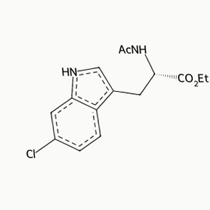 CCOC(=O)[C@H](Cc1c[nH]c2cc(Cl)ccc12)NC(C)=O